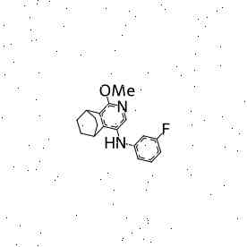 COc1ncc(Nc2cccc(F)c2)c2c1C1CCC2CC1